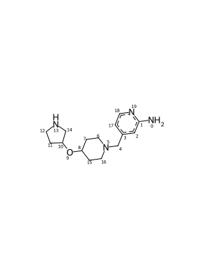 Nc1cc(CN2CCC(OC3CCNC3)CC2)ccn1